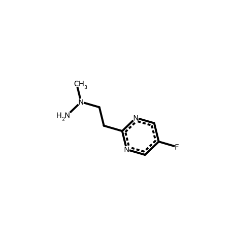 CN(N)CCc1ncc(F)cn1